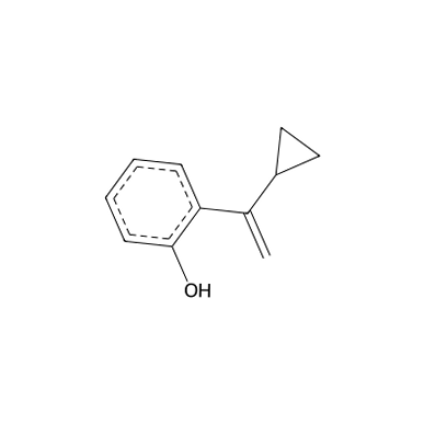 C=C(c1ccccc1O)C1CC1